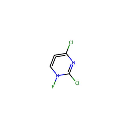 FN1C=C=C(Cl)N=C1Cl